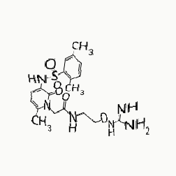 Cc1ccc(C)c(S(=O)(=O)Nc2ccc(C)n(CC(=O)NCCONC(=N)N)c2=O)c1